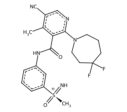 Cc1c(C#N)cnc(N2CCCC(F)(F)CC2)c1C(=O)Nc1cccc([S@](C)(=N)=O)c1